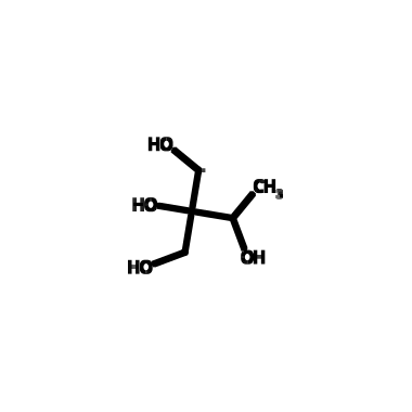 CC(O)C(O)([CH]O)CO